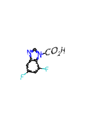 O=C(O)n1cnc2cc(F)cc(F)c21